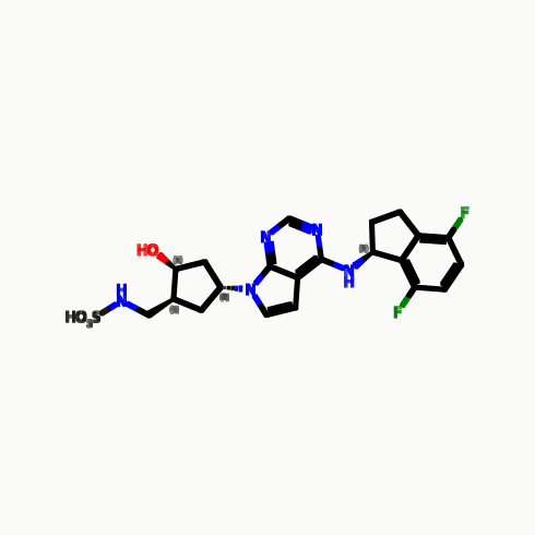 O=S(=O)(O)NC[C@@H]1C[C@@H](n2ccc3c(N[C@H]4CCc5c(F)ccc(F)c54)ncnc32)C[C@@H]1O